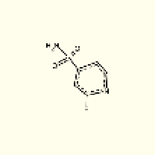 NS(=O)(=O)c1ccnc(F)c1